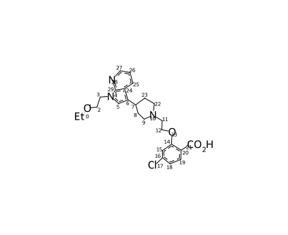 CCOCCn1cc(C2CCN(CCOc3cc(Cl)ccc3C(=O)O)CC2)c2cccnc21